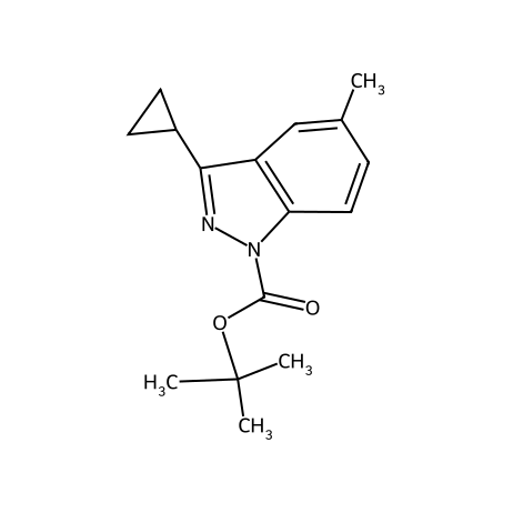 Cc1ccc2c(c1)c(C1CC1)nn2C(=O)OC(C)(C)C